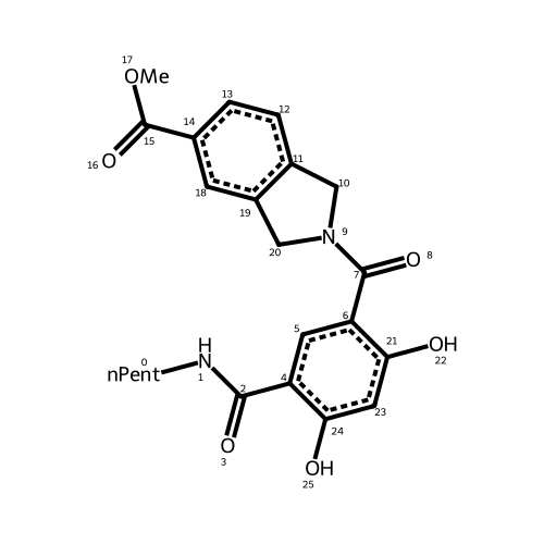 CCCCCNC(=O)c1cc(C(=O)N2Cc3ccc(C(=O)OC)cc3C2)c(O)cc1O